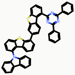 c1ccc(-c2nc(-c3ccccc3)nc(-c3cccc4sc5cc(-c6cccc7c6sc6cccc(-n8c9ccccc9c9ccccc98)c67)ccc5c34)n2)cc1